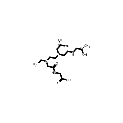 CCN(CCN(CCNC[C@H](C)O)C[C@H](C)O)CC(=O)NCC(=O)O